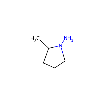 CC1CCCN1N